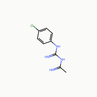 CC(=N)NC(=N)Nc1ccc(Cl)cc1